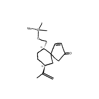 C=C(C)[C@H]1CC[C@H](CO[Si](C)(C)C(C)(C)C)C2(C=CC(=O)C2)C1